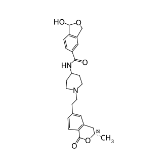 C[C@H]1Cc2cc(CCN3CCC(NC(=O)c4ccc5c(c4)COC5O)CC3)ccc2C(=O)O1